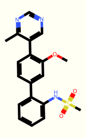 COc1cc(-c2ccccc2NS(C)(=O)=O)ccc1-c1cncnc1C